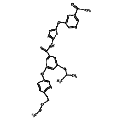 COOSc1ccc(Oc2cc(OC(C)C)cc(C(=O)Nc3ncc(Oc4cncc(C(C)=O)c4)s3)c2)cn1